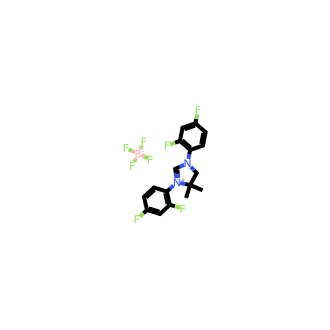 CC1(C)CN(c2ccc(F)cc2F)C=[N+]1c1ccc(F)cc1F.F[B-](F)(F)F